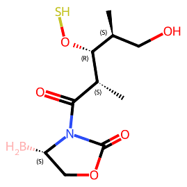 B[C@H]1COC(=O)N1C(=O)[C@@H](C)[C@H](OS)[C@@H](C)CO